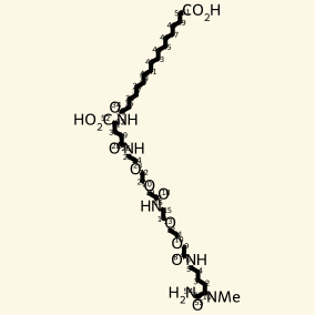 CNC(CCCCNC(=O)COCCOCCNC(=O)COCCOCCNC(=O)CCC(NC(=O)CCCCCCCCCCCCCCCCC(=O)O)C(=O)O)C(N)=O